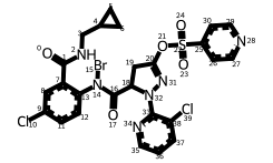 O=C(NCC1CC1)c1cc(Cl)ccc1N(Br)C(=O)C1CC(OS(=O)(=O)c2ccncc2)=NN1c1ncccc1Cl